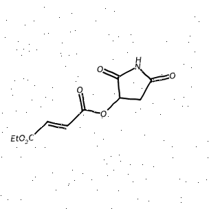 CCOC(=O)/C=C/C(=O)OC1CC(=O)NC1=O